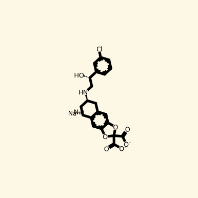 O=C([O-])C1(C(=O)[O-])Oc2cc3c(cc2O1)C[C@H](NC[C@H](O)c1cccc(Cl)c1)CC3.[Na+].[Na+]